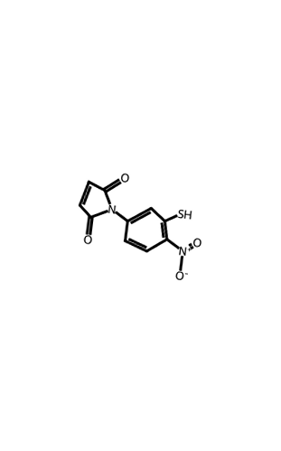 O=C1C=CC(=O)N1c1ccc([N+](=O)[O-])c(S)c1